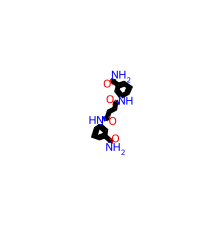 NC(=O)c1cccc(NC(=O)CCC(=O)Nc2cccc(C(N)=O)c2)c1